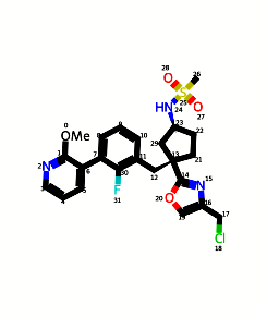 COc1ncccc1-c1cccc(C[C@]2(c3nc(CCl)co3)CC[C@H](NS(C)(=O)=O)C2)c1F